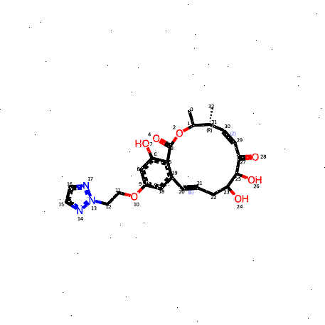 CC1OC(=O)c2c(O)cc(OCCn3nccn3)cc2/C=C/CC(O)C(O)C(=O)/C=C\[C@H]1C